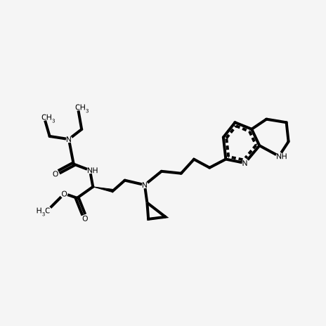 CCN(CC)C(=O)N[C@@H](CCN(CCCCc1ccc2c(n1)NCCC2)C1CC1)C(=O)OC